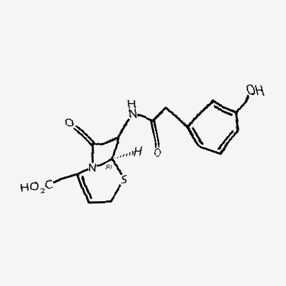 O=C(Cc1cccc(O)c1)NC1C(=O)N2C(C(=O)O)=CCS[C@H]12